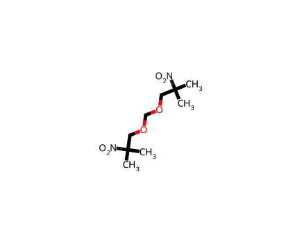 CC(C)(COCOCC(C)(C)[N+](=O)[O-])[N+](=O)[O-]